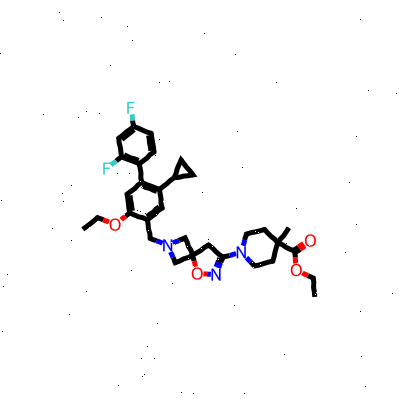 CCOC(=O)C1(C)CCN(C2=NOC3(C2)CN(Cc2cc(C4CC4)c(-c4ccc(F)cc4F)cc2OCC)C3)CC1